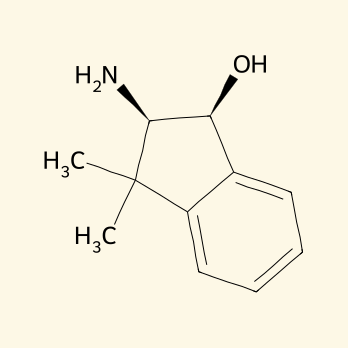 CC1(C)c2ccccc2[C@H](O)[C@@H]1N